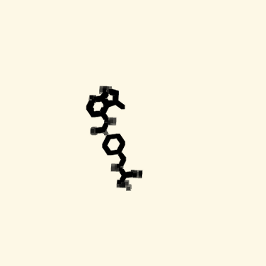 Cc1c[nH]c2nccc(NC(=O)[C@H]3CC[C@H](CNC(=N)N)CC3)c12